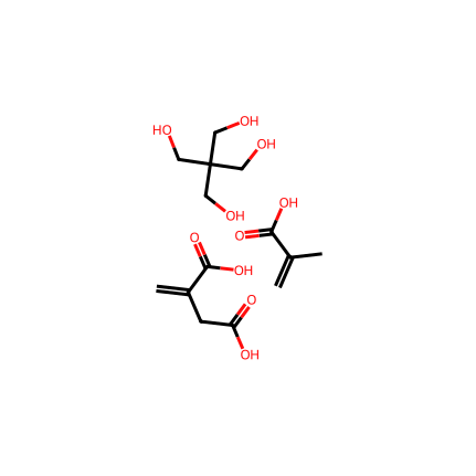 C=C(C)C(=O)O.C=C(CC(=O)O)C(=O)O.OCC(CO)(CO)CO